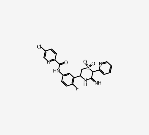 N=C1NC(c2cc(NC(=O)c3ccc(Cl)cn3)ccc2F)CS(=O)(=O)C1c1ccccn1